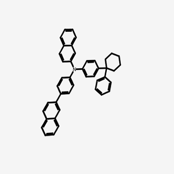 c1ccc(C2(c3ccc(N(c4ccc(-c5ccc6ccccc6c5)cc4)c4ccc5ccccc5c4)cc3)CCCCC2)cc1